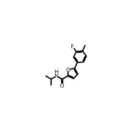 Cc1ccc(-c2ccc(C(=O)NC(C)C)o2)cc1F